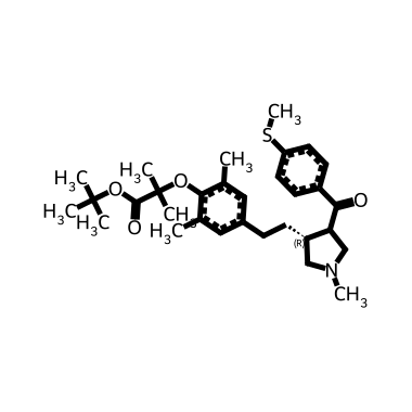 CSc1ccc(C(=O)C2CN(C)C[C@@H]2CCc2cc(C)c(OC(C)(C)C(=O)OC(C)(C)C)c(C)c2)cc1